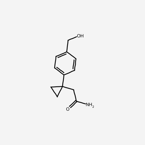 NC(=O)CC1(c2ccc(CO)cc2)CC1